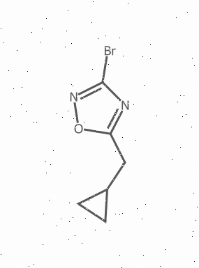 Brc1noc(CC2CC2)n1